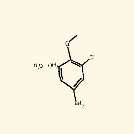 Bc1ccc(OC)c(Cl)c1.O.O